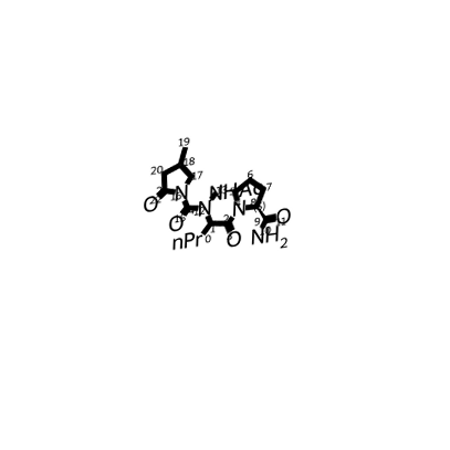 CCCC(C(=O)N1CCC[C@H]1C(N)=O)N(NC(C)=O)C(=O)N1CC(C)CC1=O